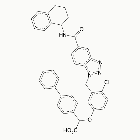 O=C(NC1CCCc2ccccc21)c1ccc2c(c1)nnn2Cc1cc(OC(C(=O)O)c2ccc(-c3ccccc3)cc2)ccc1Cl